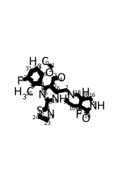 CCOC(=O)C1=C(CN2CC[C@@]3(F)C(=O)NC[C@H]3C2)NC(c2nccs2)=N[C@H]1c1cccc(F)c1C